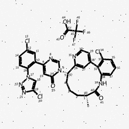 C[C@@H]1CCC[C@H](n2cnc(-c3cc(Cl)ccc3-n3cc(Cl)nn3)cc2=O)c2cc(ccn2)-c2c(Cl)cccc2NC1=O.O=C(O)C(F)(F)F